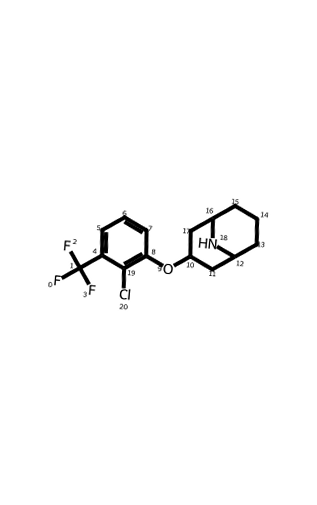 FC(F)(F)c1cccc(OC2CC3CCCC(C2)N3)c1Cl